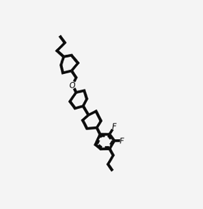 CCCc1ccc(C2CCC(C3CCC(OCC4CCC(CCC)CC4)CC3)CC2)c(F)c1F